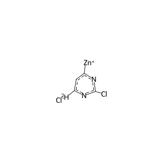 [2H]c1c[c]([Zn+])nc(Cl)n1.[Cl-]